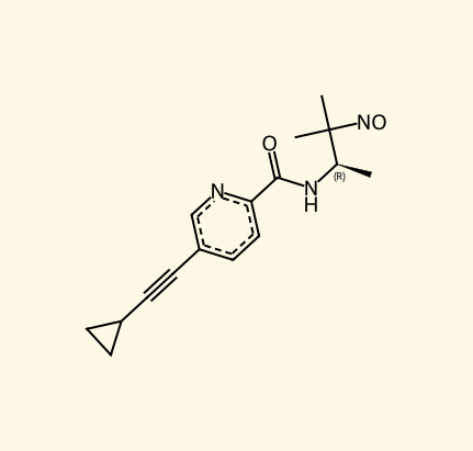 C[C@@H](NC(=O)c1ccc(C#CC2CC2)cn1)C(C)(C)N=O